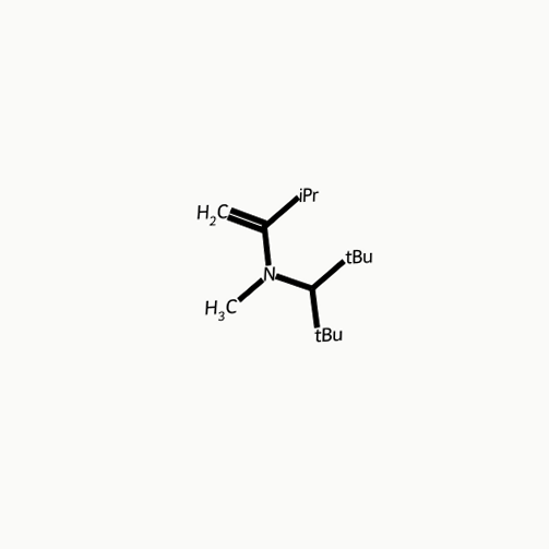 C=C(C(C)C)N(C)C(C(C)(C)C)C(C)(C)C